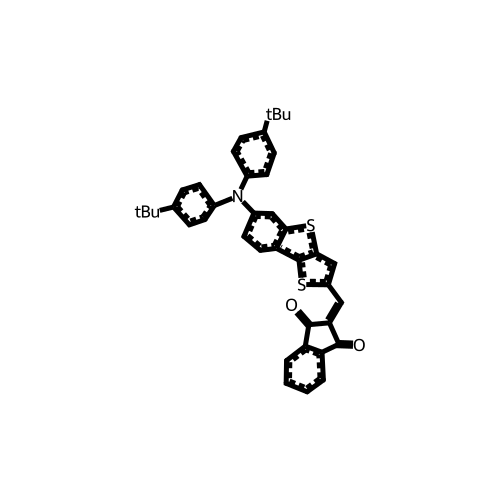 CC(C)(C)c1ccc(N(c2ccc(C(C)(C)C)cc2)c2ccc3c(c2)sc2cc(C=C4C(=O)c5ccccc5C4=O)sc23)cc1